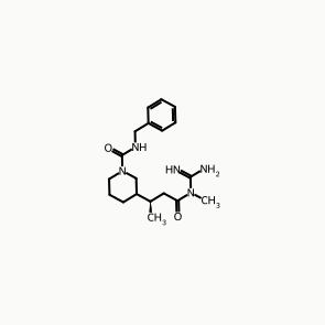 C[C@H](CC(=O)N(C)C(=N)N)C1CCCN(C(=O)NCc2ccccc2)C1